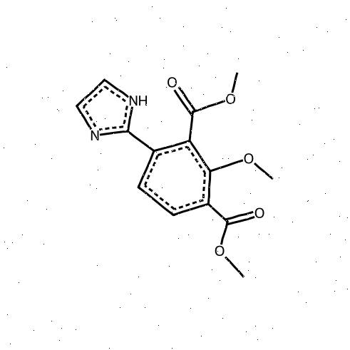 COC(=O)c1ccc(-c2ncc[nH]2)c(C(=O)OC)c1OC